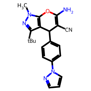 Cn1nc(C(C)(C)C)c2c1OC(N)=C(C#N)C2c1ccc(-n2cccn2)cc1